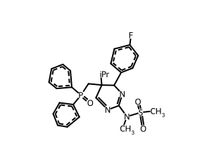 CC(C)C1(CP(=O)(c2ccccc2)c2ccccc2)C=NC(N(C)S(C)(=O)=O)=NC1c1ccc(F)cc1